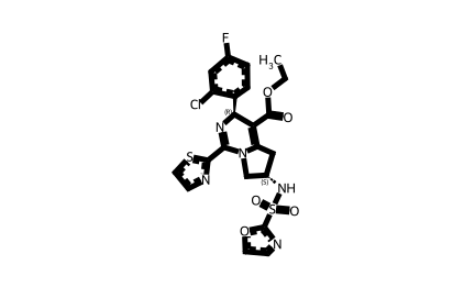 CCOC(=O)C1=C2C[C@H](NS(=O)(=O)c3ncco3)CN2C(c2nccs2)=N[C@H]1c1ccc(F)cc1Cl